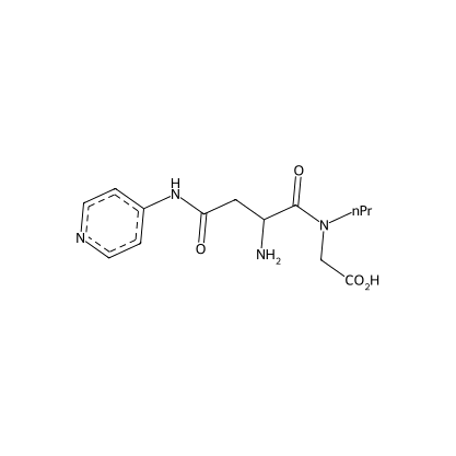 CCCN(CC(=O)O)C(=O)C(N)CC(=O)Nc1ccncc1